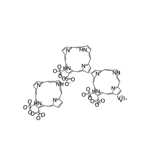 O=S(=O)([O-])c1c(S(=O)(=O)[O-])c2cc3nc(cc4ccc(cc5nc(cc1[nH]2)C=C5)[nH]4)C=C3.O=S(=O)([O-])c1c(S(=O)(=O)[O-])c2cc3nc(cc4ccc(cc5nc(cc1[nH]2)C=C5)[nH]4)C=C3.O=S(=O)([O-])c1c(S(=O)(=O)[O-])c2cc3nc(cc4ccc(cc5nc(cc1[nH]2)C=C5)[nH]4)C=C3.[V+3].[V+3]